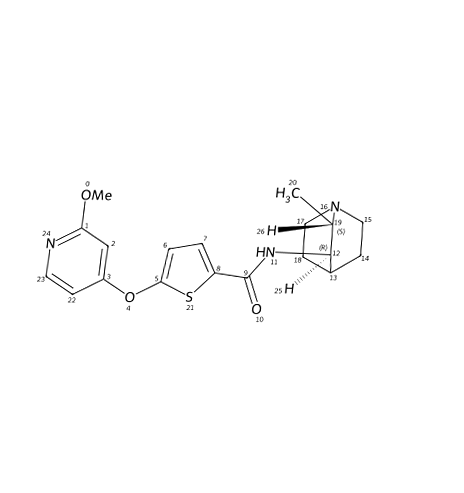 COc1cc(Oc2ccc(C(=O)N[C@@H]3C4CCN(CC4)[C@H]3C)s2)ccn1